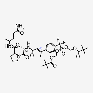 CCCC[C@H](NC(=O)/C=C(\C)c1ccc(C(F)(F)P(=O)(OCOC(=O)C(C)(C)C)OCOC(=O)C(C)(C)C)cc1)C(=O)N1CCCC1C(=O)NC(C)CCC(N)=O